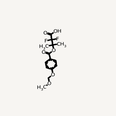 COCOc1ccc(C(=O)OC(C)(C)C(F)(F)C(=O)O)cc1